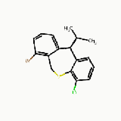 CC(C)C1c2cccc(Br)c2CSc2c(Cl)cccc21